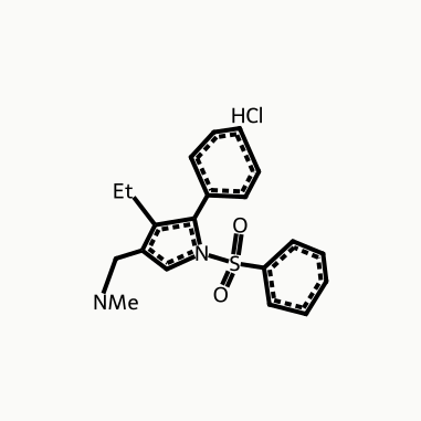 CCc1c(CNC)cn(S(=O)(=O)c2ccccc2)c1-c1ccccc1.Cl